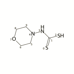 S=C(S)NN1CCOCC1